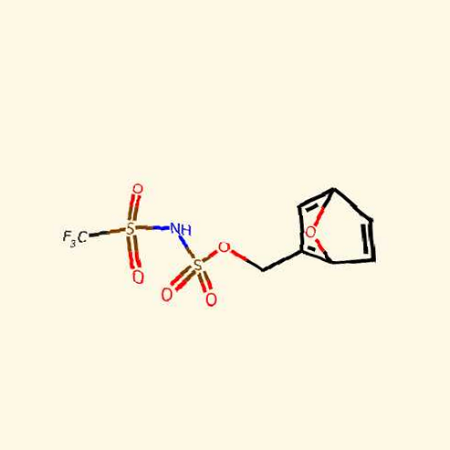 O=S(=O)(NS(=O)(=O)C(F)(F)F)OCc1cc2ccc1o2